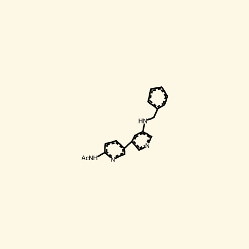 CC(=O)Nc1ccc(-c2cncc(NCc3ccccc3)c2)cn1